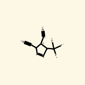 N#CC1C=CC(C(F)(F)F)C1C#N